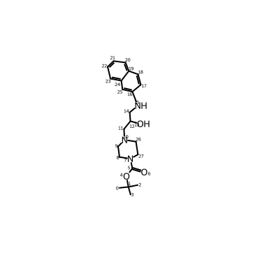 CC(C)(C)OC(=O)N1CCN(CC(O)CNc2ccc3ccccc3c2)CC1